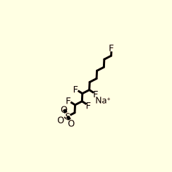 O=S(=O)([O-])CC(F)C(F)C(F)C(F)CCCCCCF.[Na+]